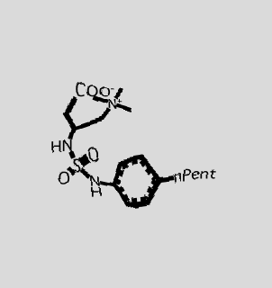 CCCCCc1ccc(NS(=O)(=O)NC(CC(=O)[O-])C[N+](C)(C)C)cc1